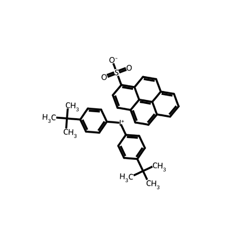 CC(C)(C)c1ccc([I+]c2ccc(C(C)(C)C)cc2)cc1.O=S(=O)([O-])c1ccc2ccc3cccc4ccc1c2c34